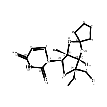 CC[C@@]1(CCl)O[C@@H](n2ccc(=O)[nH]c2=O)[C@]2(C)OC3(CCCC3)O[C@H]12